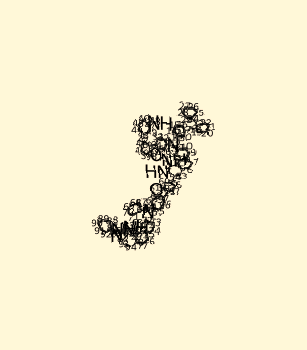 N=C1C(=N)c2c(ccc3ccc(N(c4cccc(-c5ccccc5-c5ccccc5)c4)c4ccc5c(c4)oc4cccc(-c6cccc(N)c6)c45)cc23)C=C1c1ccc2c(c1)oc1cc(N(c3ccccc3)c3ccc4ccc5c(c4c3)C(=N)/C(=N\Nc3ccccc3)C=C5)ccc12